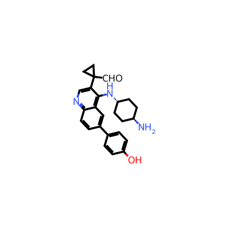 N[C@H]1CC[C@H](Nc2c(C3(C=O)CC3)cnc3ccc(-c4ccc(O)cc4)cc23)CC1